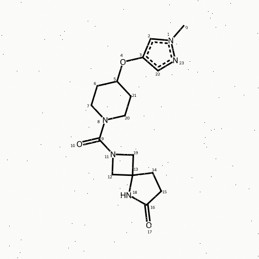 Cn1cc(OC2CCN(C(=O)N3CC4(CCC(=O)N4)C3)CC2)cn1